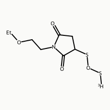 [3H]SOSC1CC(=O)N(CCOCC)C1=O